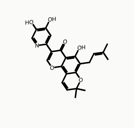 CC(C)=CCc1c2c(c3occ(-c4cc(O)c(O)cn4)c(=O)c3c1O)C=CC(C)(C)O2